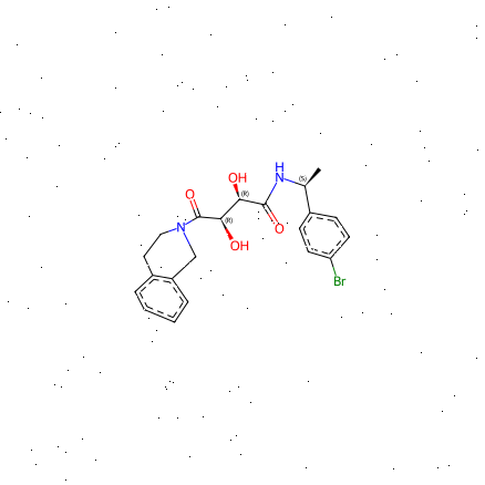 C[C@H](NC(=O)[C@H](O)[C@@H](O)C(=O)N1CCc2ccccc2C1)c1ccc(Br)cc1